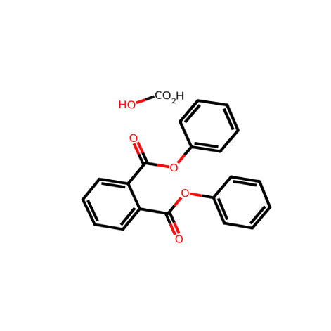 O=C(O)O.O=C(Oc1ccccc1)c1ccccc1C(=O)Oc1ccccc1